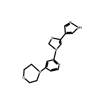 C1=C(c2cn[nH]c2)SCN1c1cc(N2CCOCC2)ccn1